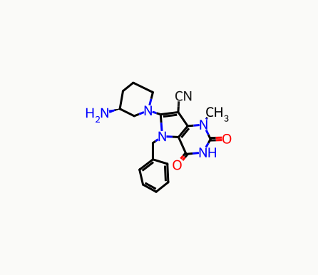 Cn1c(=O)[nH]c(=O)c2c1c(C#N)c(N1CCC[C@H](N)C1)n2Cc1ccccc1